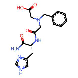 NC(=O)[C@@H](Cc1c[nH]cn1)NC(=O)CN(CC(=O)O)Cc1ccccc1